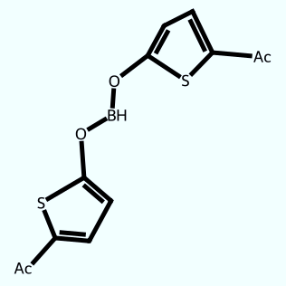 CC(=O)c1ccc(OBOc2ccc(C(C)=O)s2)s1